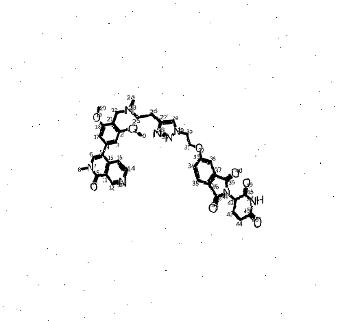 COc1cc(-c2cn(C)c(=O)c3cnccc23)cc(OC)c1CN(C)CCc1cn(CCOc2ccc3c(c2)C(=O)N(C2CCC(=O)NC2=O)C3=O)nn1